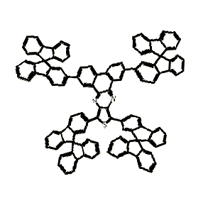 c1ccc2c(c1)-c1ccccc1C21c2ccccc2-c2ccc(-c3ccc4c5ccc(-c6ccc7c(c6)C6(c8ccccc8-c8ccccc86)c6ccccc6-7)cc5c5nc6c(-c7ccc8c(c7)C7(c9ccccc9-c9ccccc97)c7ccccc7-8)sc(-c7ccc8c(c7)C7(c9ccccc9-c9ccccc97)c7ccccc7-8)c6nc5c4c3)cc21